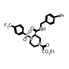 CCOC(=O)C(=O)N1CCN(S(=O)(=O)c2ccc(C(F)(F)F)cc2)[C@@H](C(=O)NCc2ccc(C(C)C)cc2)C1